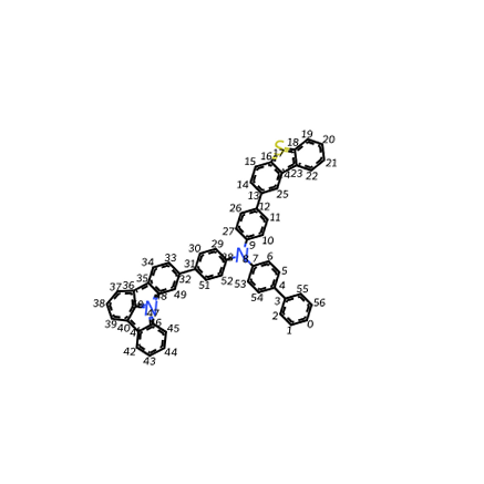 c1ccc(-c2ccc(N(c3ccc(-c4ccc5sc6ccccc6c5c4)cc3)c3ccc(-c4ccc5c6cccc7c8ccccc8n(c5c4)c76)cc3)cc2)cc1